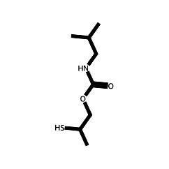 CC(C)CNC(=O)OCC(C)S